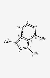 CC(=O)c1cn(C(C)C)c2c(Br)cccc12